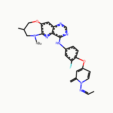 C=C1C=C(Oc2ccc(Nc3ncnc4cc5c(nc34)N(CCCC)CC(C)CO5)cc2F)C=CN1/N=C\C